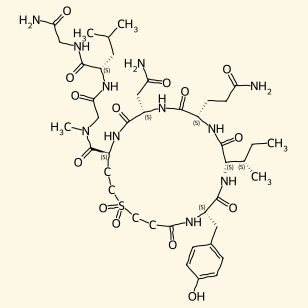 CC[C@H](C)[C@@H]1NC(=O)[C@H](Cc2ccc(O)cc2)NC(=O)CCS(=O)(=O)CC[C@@H](C(=O)N(C)CC(=O)N[C@@H](CC(C)C)C(=O)NCC(N)=O)NC(=O)[C@H](CC(N)=O)NC(=O)[C@H](CCC(N)=O)NC1=O